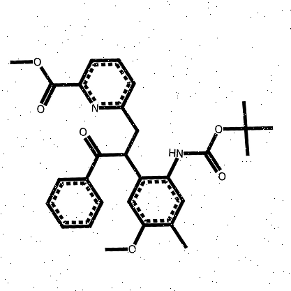 COC(=O)c1cccc(CC(C(=O)c2ccccc2)c2cc(OC)c(C)cc2NC(=O)OC(C)(C)C)n1